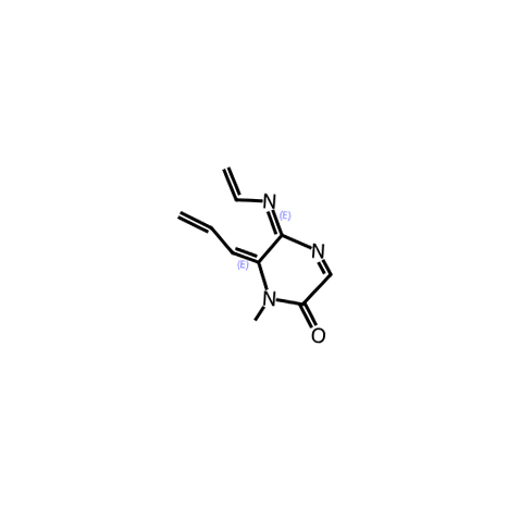 C=C/C=C1\C(=N/C=C)N=CC(=O)N1C